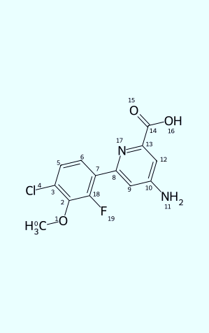 COc1c(Cl)ccc(-c2cc(N)cc(C(=O)O)n2)c1F